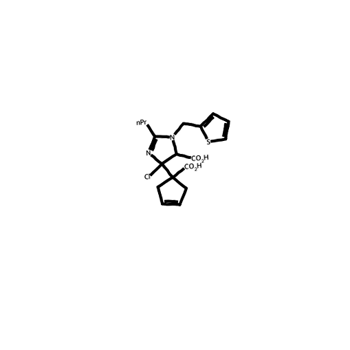 CCCC1=NC(Cl)(C2(C(=O)O)CC=CC2)C(C(=O)O)N1Cc1cccs1